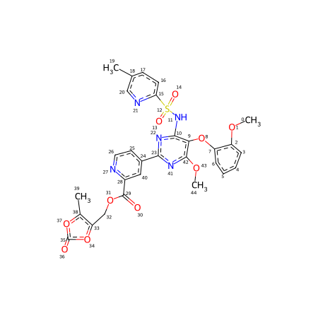 COc1ccccc1Oc1c(NS(=O)(=O)c2ccc(C)cn2)nc(-c2ccnc(C(=O)OCc3oc(=O)oc3C)c2)nc1OC